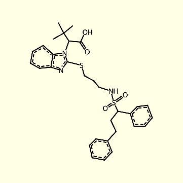 CC(C)(C)C(C(=O)O)n1c(SCCCNS(=O)(=O)C(CCc2ccccc2)c2ccccc2)nc2ccccc21